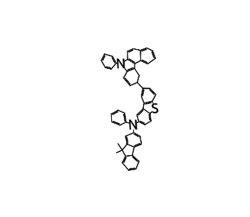 CC1(C)c2ccccc2-c2ccc(N(c3ccccc3)c3ccc4sc5ccc(C6C=Cc7c(c8c9ccccc9ccc8n7-c7ccccc7)C6)cc5c4c3)cc21